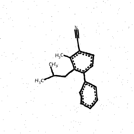 Cc1c(C#N)ccc(-c2ccccc2)c1CC(C)C